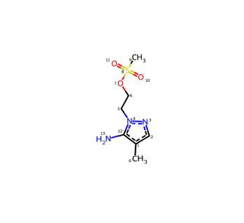 Cc1cnn(CCOS(C)(=O)=O)c1N